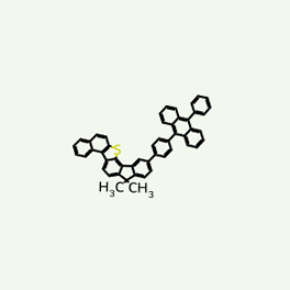 CC1(C)c2ccc(-c3ccc(-c4c5ccccc5c(-c5ccccc5)c5ccccc45)cc3)cc2-c2c1ccc1c2sc2ccc3ccccc3c21